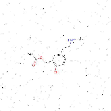 CC(C)(C)NCCc1ccc(O)c(COC(=O)C(C)(C)C)c1